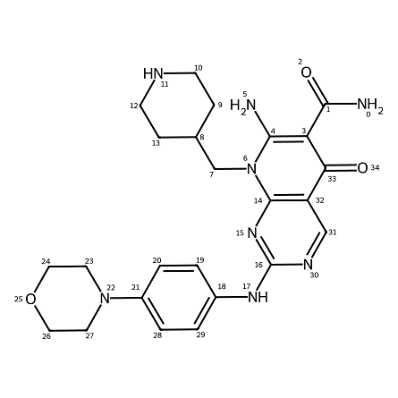 NC(=O)c1c(N)n(CC2CCNCC2)c2nc(Nc3ccc(N4CCOCC4)cc3)ncc2c1=O